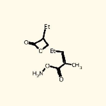 CCC1COC1=O.CCC=C(C)C(=O)ON